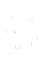 C/C=C1\C(C)C=C(C)C[C@]1(N)c1ccc(=O)[nH]c1C